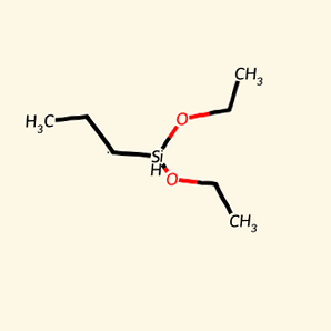 CC[CH][SiH](OCC)OCC